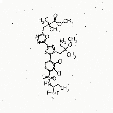 CC[C@H](NS(=O)(=O)c1ccc(-c2sc(-c3nnc(CC(C)(C)C(=O)OC)o3)nc2CC(C)(C)OC)c(Cl)c1Cl)C(F)(F)F